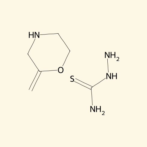 C=C1CNCCO1.NNC(N)=S